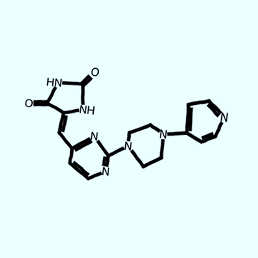 O=C1NC(=O)C(=Cc2ccnc(N3CCN(c4ccncc4)CC3)n2)N1